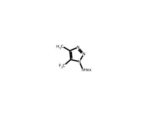 CCCCCCn1nnc(C)c1C(F)(F)F